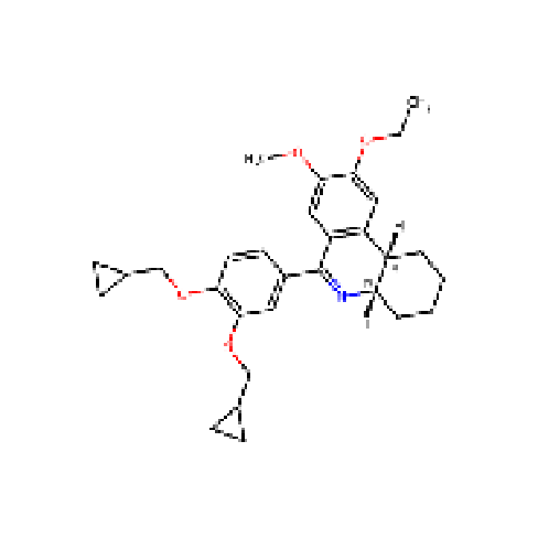 CCOc1cc2c(cc1OC)C(c1ccc(OCC3CC3)c(OCC3CC3)c1)=N[C@H]1CCCC[C@@H]21